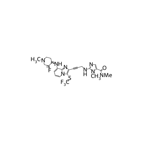 CNC(=O)c1cnc(NCC#Cc2nc3c(N[C@@H]4CCN(C)C[C@@H]4F)cccn3c2SC(F)(F)F)n1C